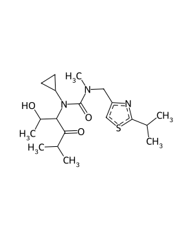 CC(C)C(=O)C(C(C)O)N(C(=O)N(C)Cc1csc(C(C)C)n1)C1CC1